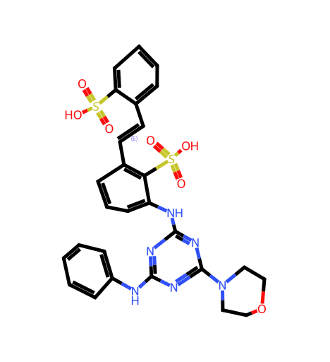 O=S(=O)(O)c1ccccc1/C=C/c1cccc(Nc2nc(Nc3ccccc3)nc(N3CCOCC3)n2)c1S(=O)(=O)O